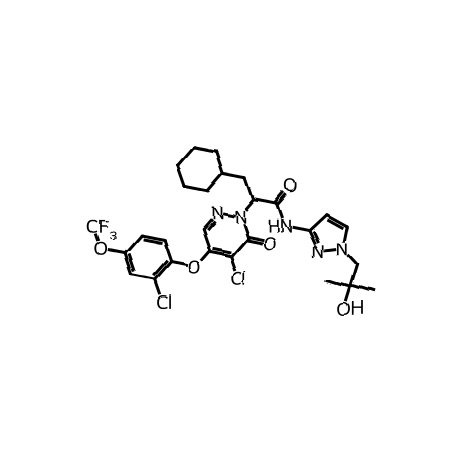 CC(C)(O)Cn1ccc(NC(=O)C(CC2CCCCC2)n2ncc(Oc3ccc(OC(F)(F)F)cc3Cl)c(Cl)c2=O)n1